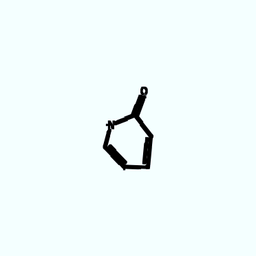 O=C1C=C[C]=C[N]1